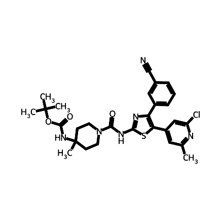 Cc1cc(-c2sc(NC(=O)N3CCC(C)(NC(=O)OC(C)(C)C)CC3)nc2-c2cccc(C#N)c2)cc(Cl)n1